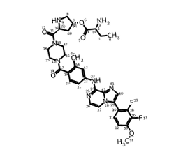 CC[C@H](N)C(=O)O[C@H]1CN[C@H](C(=O)N2CCN(C(=O)c3ccc(Nc4nccn5c(-c6ccc(OC)c(F)c6F)cnc45)cc3C)CC2)C1